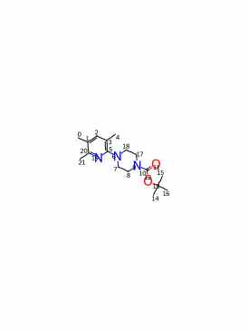 Cc1cc(C)c(N2CCN(C(=O)OC(C)(C)C)CC2)nc1C